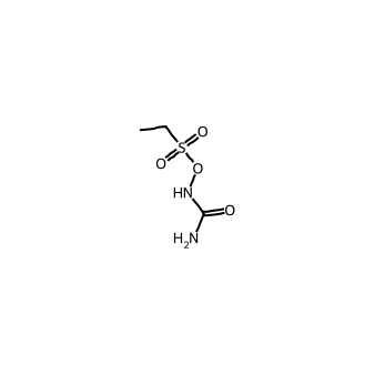 CCS(=O)(=O)ONC(N)=O